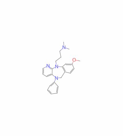 COc1ccc2c(c1)N(CCCN(C)C)c1ncccc1N(c1ccccc1)C2